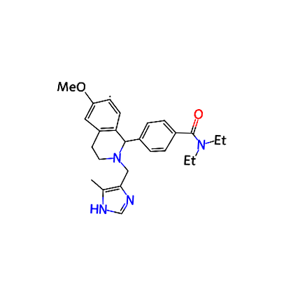 CCN(CC)C(=O)c1ccc(C2c3c[c]c(OC)cc3CCN2Cc2nc[nH]c2C)cc1